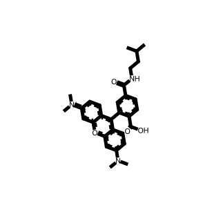 CC(C)CCNC(=O)c1ccc(C(=O)O)c(-c2c3ccc(=[N+](C)C)cc-3oc3cc(N(C)C)ccc23)c1